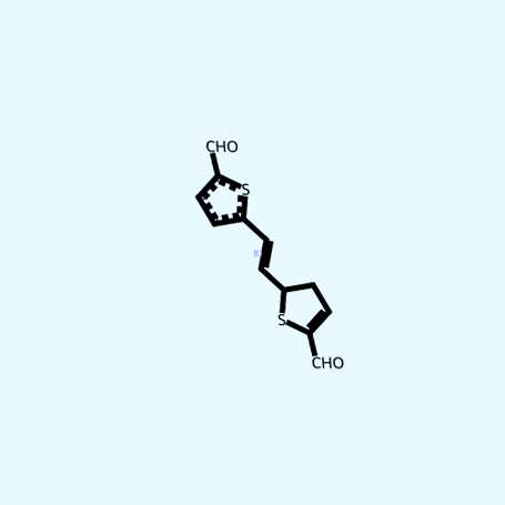 O=CC1=CCC(/C=C/c2ccc(C=O)s2)S1